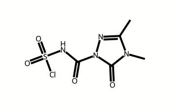 Cc1nn(C(=O)NS(=O)(=O)Cl)c(=O)n1C